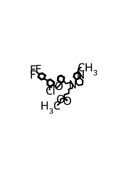 CCOC(=O)CCCCN(CCc1ccccc1OCc1ccc(-c2ccc(C(F)(F)F)cc2)cc1Cl)C1CCCc2nc(CC)ccc21